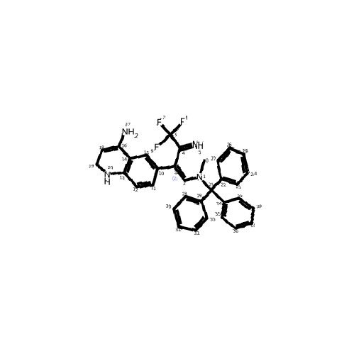 CN(/C=C(\C(=N)C(F)(F)F)c1ccc2c(c1)C(N)=CCN2)C(c1ccccc1)(c1ccccc1)c1ccccc1